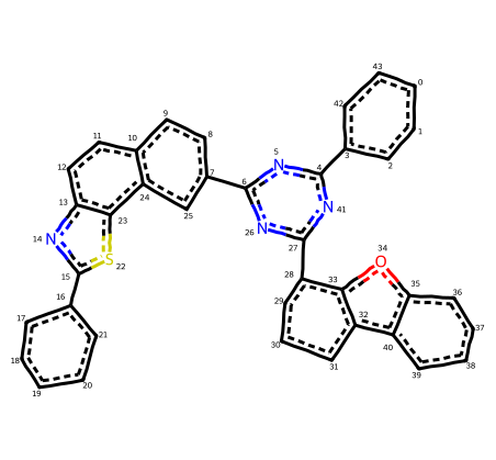 c1ccc(-c2nc(-c3ccc4ccc5nc(-c6ccccc6)sc5c4c3)nc(-c3cccc4c3oc3ccccc34)n2)cc1